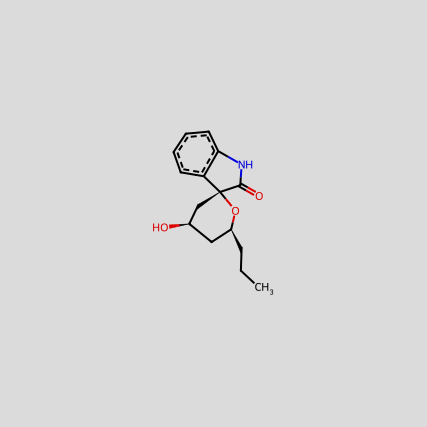 CCC[C@H]1C[C@@H](O)C[C@]2(O1)C(=O)Nc1ccccc12